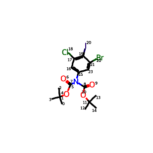 CC(C)(C)OC(=O)N(C(=O)OC(C)(C)C)c1cc(Cl)c(I)c(Br)c1